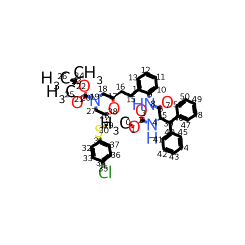 COC(=O)N[C@H](C(=O)Nc1ccccc1CC[C@@H]1CN(C(=O)OC(C)(C)C)C[C@@H](CSc2ccc(Cl)cc2)O1)C(c1ccccc1)c1ccccc1